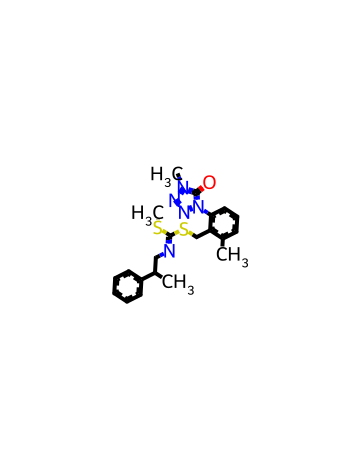 CS/C(=N\CC(C)c1ccccc1)SCc1c(C)cccc1-n1nnn(C)c1=O